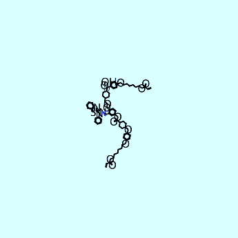 C=CC(=O)OCCCCCCOc1ccc(OC2CCC(C(=O)Oc3ccc(OOCC4CCC([C@H](OO)c5ccc(OCCCCCCOC(=O)C=C)cc5)CC4)c(/C=N/N(c4ccccc4)c4nc5ccccc5s4)c3)CC2)cc1